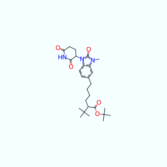 Cn1c(=O)n(C2CCC(=O)NC2=O)c2ccc(CCCCC(C(=O)OC(C)(C)C)C(C)(C)C)cc21